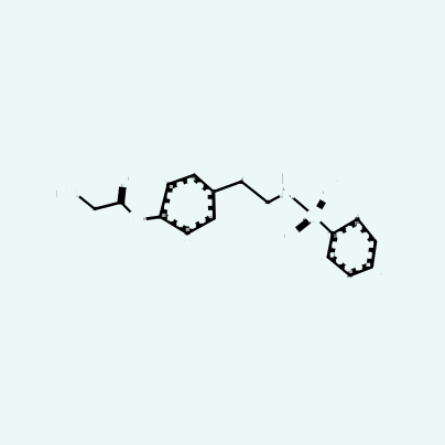 CCC(C)CC(=O)Oc1ccc(CCNS(=O)(=O)c2ccccc2)cc1